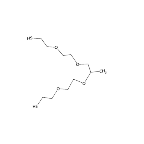 CC(COCCOCCS)OCCOCCS